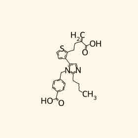 C=C(CCc1sccc1-c1cnc(CCCC)n1Cc1ccc(C(=O)O)cc1)C(=O)O